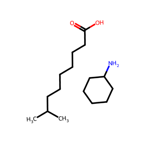 CC(C)CCCCCCC(=O)O.NC1CCCCC1